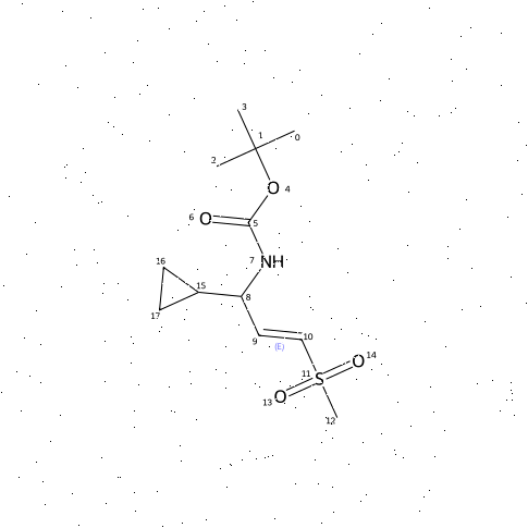 CC(C)(C)OC(=O)NC(/C=C/S(C)(=O)=O)C1CC1